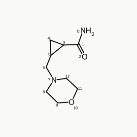 NC(=O)C1CC1CN1CCOCC1